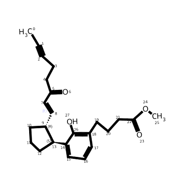 CC#CCCC(=O)/C=C/[C@H]1CCC[C@@H]1c1cccc(CCCC(=O)OC)c1O